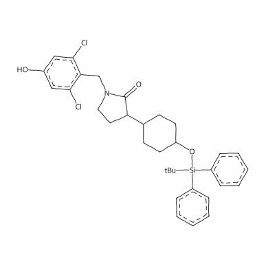 CC(C)(C)[Si](OC1CCC(C2CCN(Cc3c(Cl)cc(O)cc3Cl)C2=O)CC1)(c1ccccc1)c1ccccc1